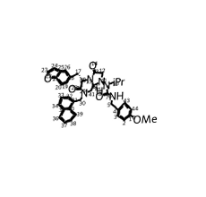 COc1ccc(CNC(=O)N(C(C)C)N2CC(=O)N3[C@@H](Cc4ccc5occc5c4)C(=O)N(Cc4cccc5ccccc45)C[C@@H]32)cc1